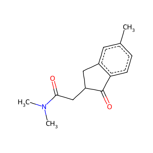 Cc1ccc2c(c1)CC(CC(=O)N(C)C)C2=O